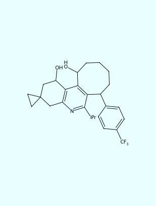 CC(C)c1nc2c(c3c1C(c1ccc(C(F)(F)F)cc1)CCCCC3O)C(O)CC1(CC1)C2